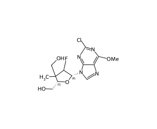 COc1nc(Cl)nc2c1ncn2[C@@H]1O[C@H](CO)C(C)(CO)C1F